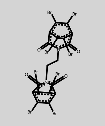 O=c1c2c(Br)c(Br)c(c(Br)c2Br)c(=O)n1CCn1c(=O)c2c(Br)c(Br)c(c(Br)c2Br)c1=O